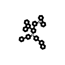 c1ccc(-c2ccc(N(c3ccc(-c4ccc5ccccc5c4)cc3)c3ccc(-c4cccc(-n5c6ccccc6c6ccccc65)c4)c(-c4cc5ccccc5c5ccccc45)c3)cc2)cc1